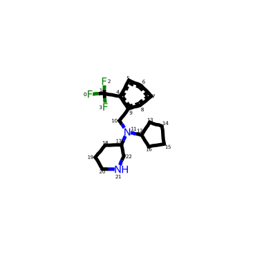 FC(F)(F)c1ccccc1CN(C1CCCC1)C1CCCNC1